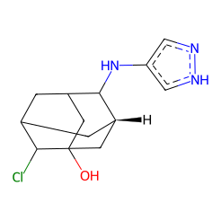 OC12CC3CC(C[C@@H](C1)C3Nc1cn[nH]c1)C2Cl